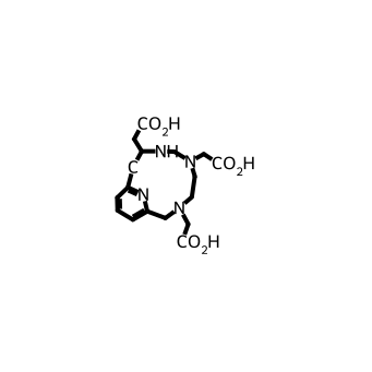 O=C(O)CC1Cc2cccc(n2)CN(CC(=O)O)CCN(CC(=O)O)CN1